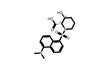 CN(C)c1cccc2c(S(=O)(=O)N3CCC[C@H](O)[C@H]3C(=O)O)cccc12